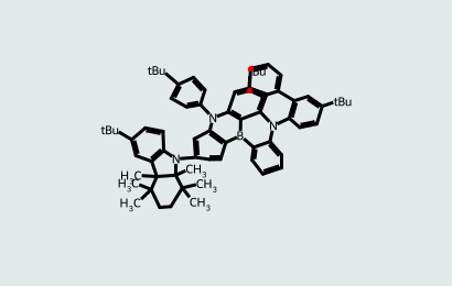 CC(C)(C)c1ccc(N2c3cc(N4c5ccc(C(C)(C)C)cc5C5(C)C(C)(C)CCC(C)(C)C45C)ccc3B3c4ccccc4N(c4ccc(C(C)(C)C)cc4-c4ccccc4)c4cc(C(C)(C)C)cc2c43)cc1